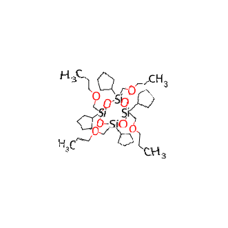 CCCOC[Si]1(C2CCCC2)O[Si](COCCC)(C2CCCC2)O[Si](COCCC)(C2CCCC2)O[Si](COCCC)(C2CCCC2)O1